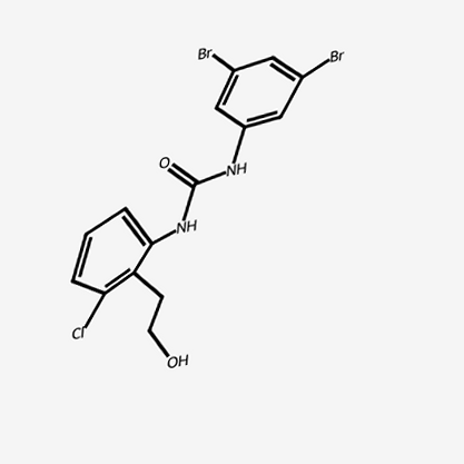 O=C(Nc1cc(Br)cc(Br)c1)Nc1cccc(Cl)c1CCO